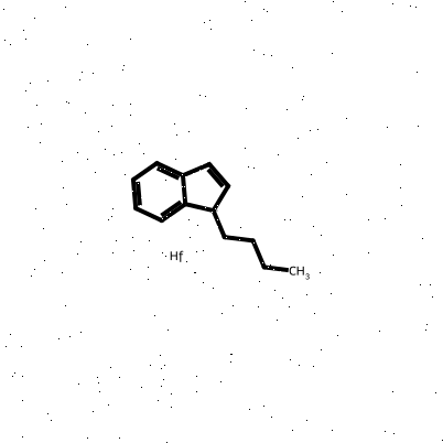 CCCC[C]1C=Cc2ccccc21.[Hf]